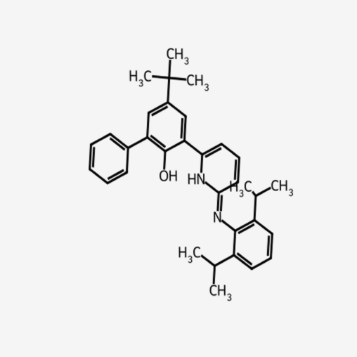 CC(C)c1cccc(C(C)C)c1N=c1cccc(-c2cc(C(C)(C)C)cc(-c3ccccc3)c2O)[nH]1